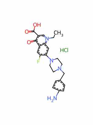 CCn1cc(C(=O)O)c(=O)c2cc(F)c(N3CCN(Cc4ccc(N)cc4)CC3)cc21.Cl